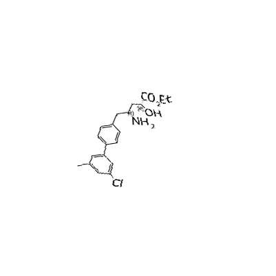 CCOC(=O)[C@H](O)C[C@H](N)Cc1ccc(-c2cc(C)cc(Cl)c2)cc1